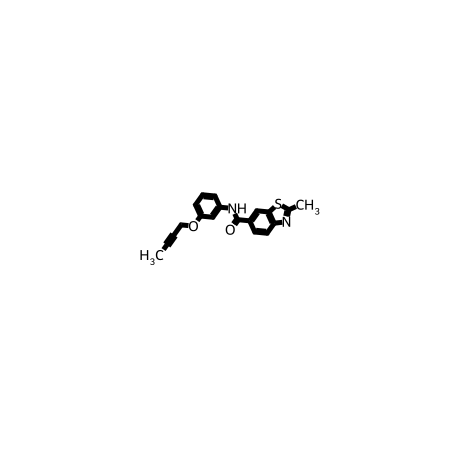 CC#CCOc1cccc(NC(=O)c2ccc3nc(C)sc3c2)c1